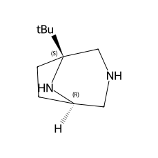 CC(C)(C)[C@@]12CC[C@H](CNC1)N2